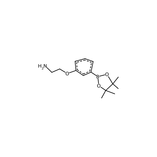 CC1(C)OB(c2cccc(OCCN)c2)OC1(C)C